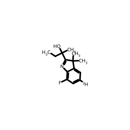 [2H]c1cc(F)c2c(c1)C(C)(C)C(C(C)(O)CC)=N2